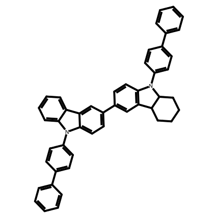 c1ccc(-c2ccc(N3c4ccc(-c5ccc6c(c5)c5ccccc5n6-c5ccc(-c6ccccc6)cc5)cc4C4CCCCC43)cc2)cc1